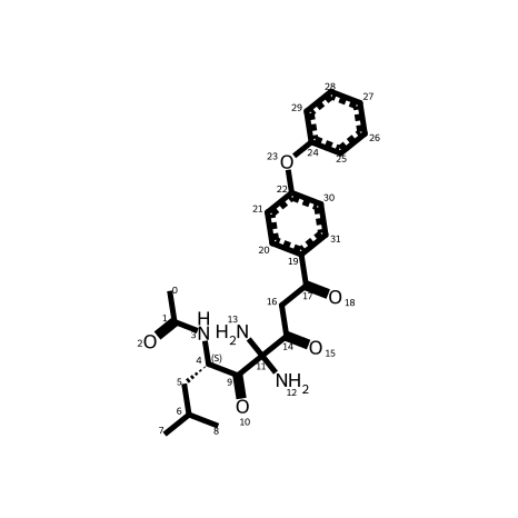 CC(=O)N[C@@H](CC(C)C)C(=O)C(N)(N)C(=O)CC(=O)c1ccc(Oc2ccccc2)cc1